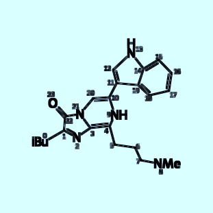 CCC(C)c1nc2c(CCCNC)[nH]c(-c3c[nH]c4ccccc34)cn-2c1=O